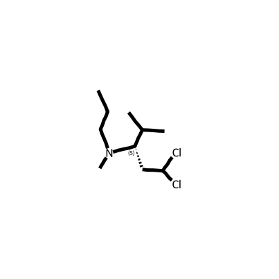 CCCN(C)[C@@H](CC(Cl)Cl)C(C)C